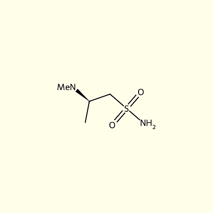 CN[C@H](C)CS(N)(=O)=O